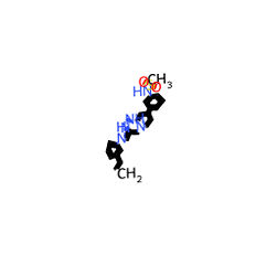 C=CCc1cccc(N/C=C(/CN2CCC(c3cccc(NS(C)(=O)=O)c3)CC2)N=N)c1